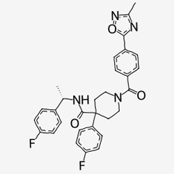 Cc1noc(-c2ccc(C(=O)N3CCC(C(=O)N[C@@H](C)c4ccc(F)cc4)(c4ccc(F)cc4)CC3)cc2)n1